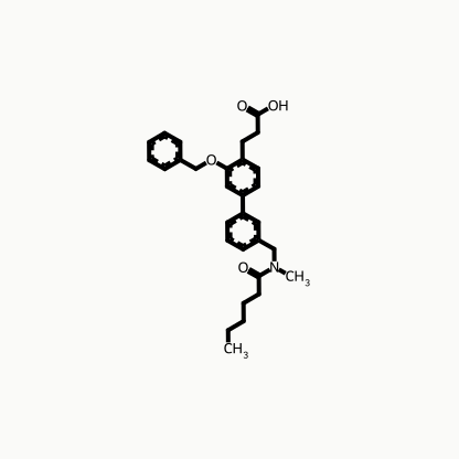 CCCCCC(=O)N(C)Cc1cccc(-c2ccc(CCC(=O)O)c(OCc3ccccc3)c2)c1